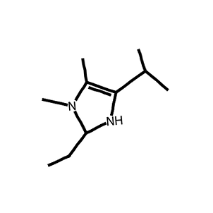 CCC1NC(C(C)C)=C(C)N1C